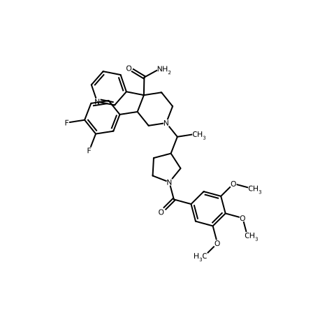 COc1cc(C(=O)N2CCC(C(C)N3CCC(C(N)=O)(c4cccnc4)C(c4ccc(F)c(F)c4)C3)C2)cc(OC)c1OC